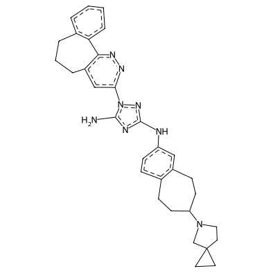 Nc1nc(Nc2ccc3c(c2)CCC(N2CCC4(CC4)C2)CC3)nn1-c1cc2c(nn1)-c1ccccc1CCC2